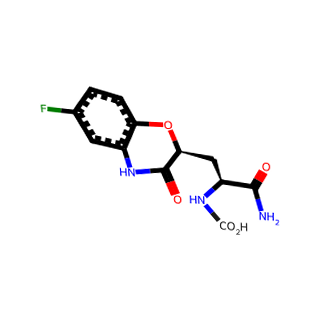 NC(=O)[C@H](C[C@@H]1Oc2ccc(F)cc2NC1=O)NC(=O)O